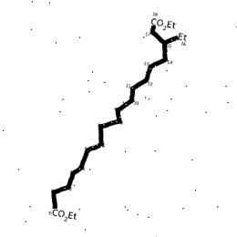 CCOC(=O)CCCCCCCCCCCCCCC(CC)CC(=O)OCC